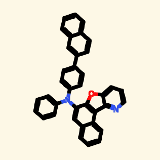 c1ccc(N(c2ccc(-c3ccc4ccccc4c3)cc2)c2cc3ccccc3c3c2oc2cccnc23)cc1